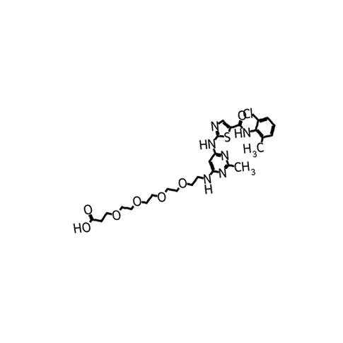 Cc1nc(NCCOCCOCCOCCOCCC(=O)O)cc(Nc2ncc(C(=O)Nc3c(C)cccc3Cl)s2)n1